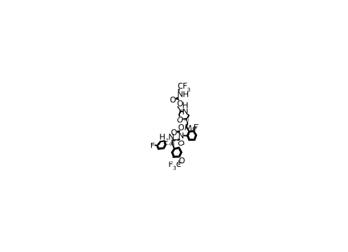 COC(=O)N(C(=O)[C@@H](N)[C@@H](c1ccc(F)cc1)c1ccc(OC(F)(F)F)cc1)c1cccc(F)c1CC[C@@H]1CN[C@H](COC(=O)NCC(F)(F)F)CO1